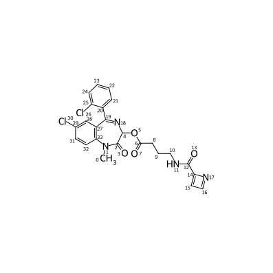 CN1C(=O)C(OC(=O)CCCNC(=O)C2=CC=N2)N=C(c2ccccc2Cl)c2cc(Cl)ccc21